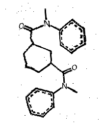 CN(C(=O)C1CCCC(C(=O)N(C)c2ccccc2)C1)c1ccccc1